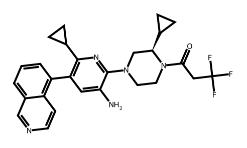 Nc1cc(-c2cccc3cnccc23)c(C2CC2)nc1N1CCN(C(=O)CC(F)(F)F)[C@H](C2CC2)C1